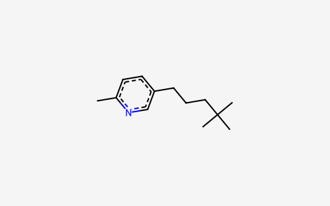 Cc1ccc(CCCC(C)(C)C)cn1